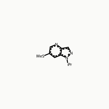 CSc1cnc2cnn(C(C)C)c2c1